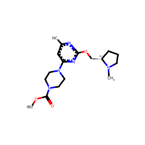 CN1CCC[C@H]1COc1nc(C#N)cc(N2CCN(C(=O)OC(C)(C)C)CC2)n1